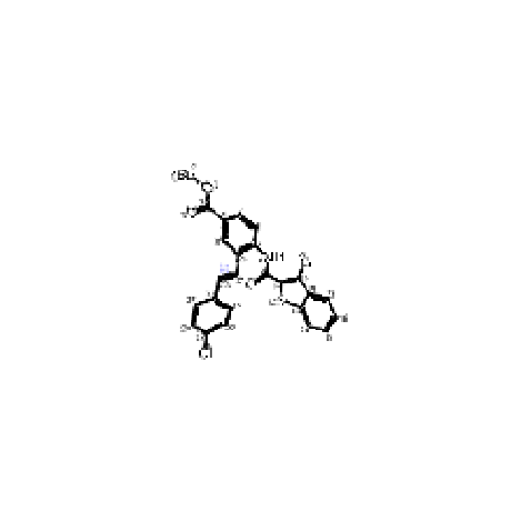 CC(C)(C)OC(=O)c1ccc(NC(=O)c2sc3ccccc3c2Cl)c(/C=C/c2ccc(Cl)cc2)c1